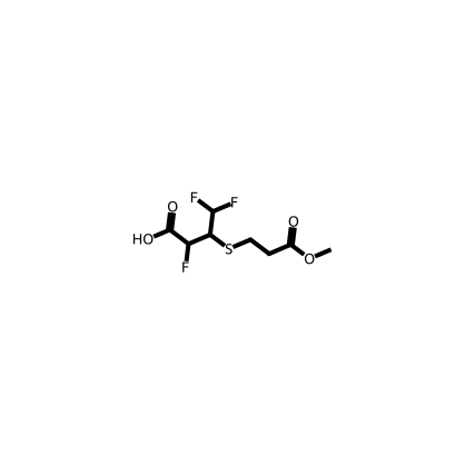 COC(=O)CCSC(C(F)F)C(F)C(=O)O